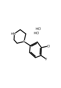 Cl.Cl.Fc1ccc(N2CCNCC2)cc1Cl